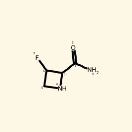 NC(=O)C1NCC1F